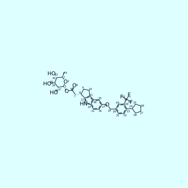 C[C@H]1O[C@H](OC(=O)C[C@@H]2CCc3c2[nH]c2ccc(OCc4ccc(C5CCCC5)c(C(F)(F)F)c4)cc32)[C@H](O)[C@@H](O)[C@@H]1O